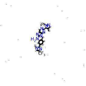 Cc1cnn(C(C)C)c1-c1ncc2nc(N)n(Cc3ccc(-c4nc(C(F)(F)F)cn4C)cc3)c2n1